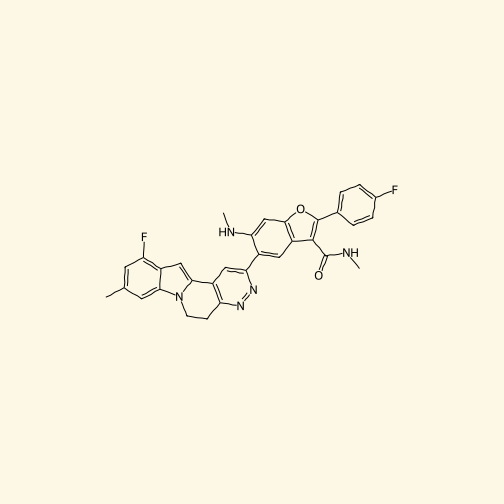 CNC(=O)c1c(-c2ccc(F)cc2)oc2cc(NC)c(-c3cc4c(nn3)CCn3c-4cc4c(F)cc(C)cc43)cc12